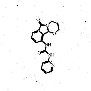 O=C(Nc1ccccn1)Nc1cccc2c1C1OCCCN1C2=O